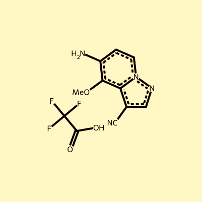 COc1c(N)ccn2ncc(C#N)c12.O=C(O)C(F)(F)F